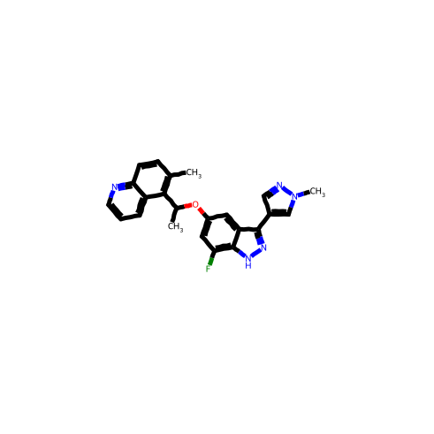 Cc1ccc2ncccc2c1C(C)Oc1cc(F)c2[nH]nc(-c3cnn(C)c3)c2c1